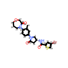 Cc1cc(N2C[C@H](NC(=O)c3cc(Br)cs3)CC2=O)ccc1N1CCCOCC1=O